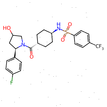 O=C([C@H]1CC[C@H](NS(=O)(=O)c2ccc(C(F)(F)F)cc2)CC1)N1CC(O)C[C@@H]1c1ccc(F)cc1